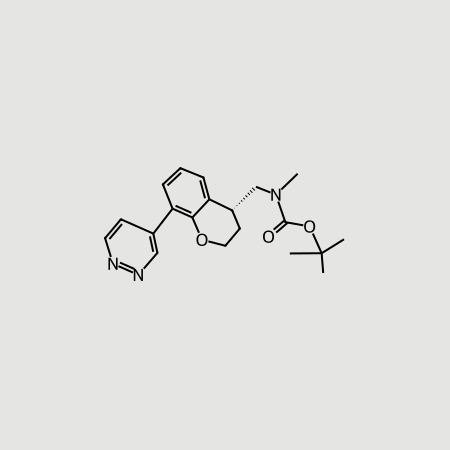 CN(C[C@@H]1CCOc2c(-c3ccnnc3)cccc21)C(=O)OC(C)(C)C